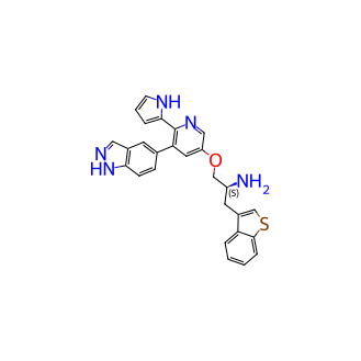 N[C@H](COc1cnc(-c2ccc[nH]2)c(-c2ccc3[nH]ncc3c2)c1)Cc1csc2ccccc12